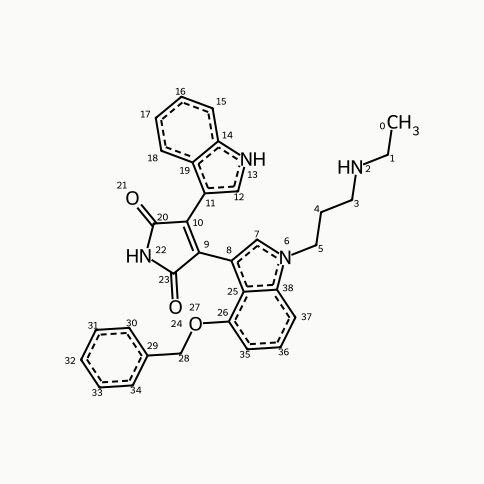 CCNCCCn1cc(C2=C(c3c[nH]c4ccccc34)C(=O)NC2=O)c2c(OCc3ccccc3)cccc21